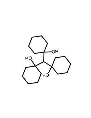 OC1(C(C2(O)CCCCC2)C2(O)CCCCC2)CCCCC1